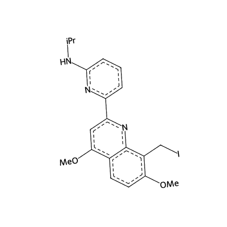 COc1ccc2c(OC)cc(-c3cccc(NC(C)C)n3)nc2c1CI